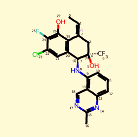 C/C=C1/C[C@](O)(C(F)(F)F)[C@@H](Nc2cccc3nc(C)ncc23)c2cc(Cl)c(F)c(O)c21